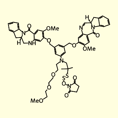 COCCOCCOCCN(CC(C)(C)SSON1C(=O)CCC1=O)c1cc(COc2cc3c(cc2OC)C(=O)N2c4ccccc4C[C@H]2C=N3)cc(COc2cc3c(cc2OC)C(=O)N2c4ccccc4C[C@H]2CN3)c1